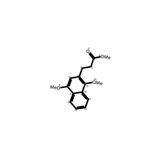 COC(=O)CCc1cc(OC)c2ccccc2c1OC